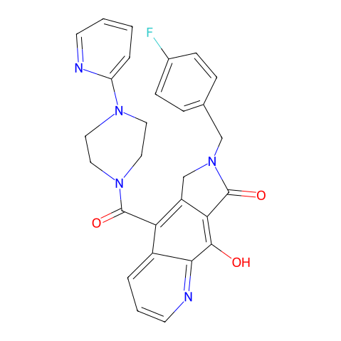 O=C1c2c(c(C(=O)N3CCN(c4ccccn4)CC3)c3cccnc3c2O)CN1Cc1ccc(F)cc1